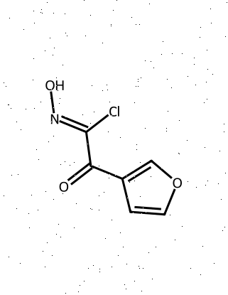 O=C(/C(Cl)=N/O)c1ccoc1